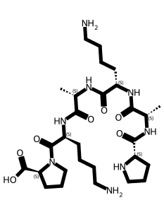 C[C@H](NC(=O)[C@@H]1CCCN1)C(=O)N[C@@H](CCCCN)C(=O)N[C@@H](C)C(=O)N[C@@H](CCCCN)C(=O)N1CCC[C@H]1C(=O)O